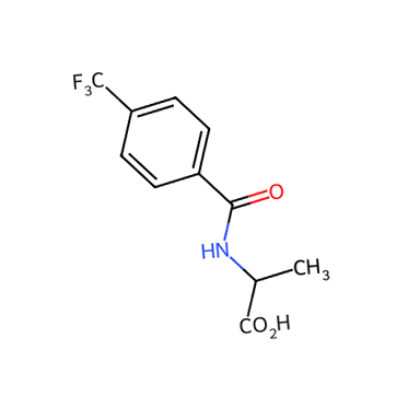 CC(NC(=O)c1ccc(C(F)(F)F)cc1)C(=O)O